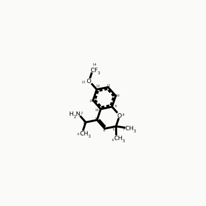 CC(N)C1=CC(C)(C)Oc2ccc(OC(F)(F)F)cc21